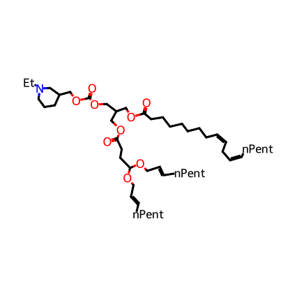 CCCCC/C=C\C/C=C\CCCCCCCC(=O)OCC(COC(=O)CCC(OC/C=C/CCCCC)OC/C=C/CCCCC)COC(=O)OCC1CCCN(CC)C1